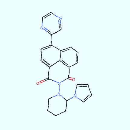 O=C1c2cccc3c(-c4cnccn4)ccc(c23)C(=O)N1N1CCCCC1n1cccc1